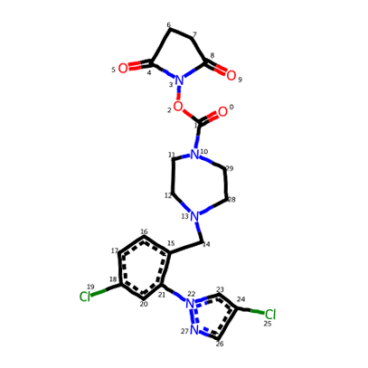 O=C(ON1C(=O)CCC1=O)N1CCN(Cc2ccc(Cl)cc2-n2cc(Cl)cn2)CC1